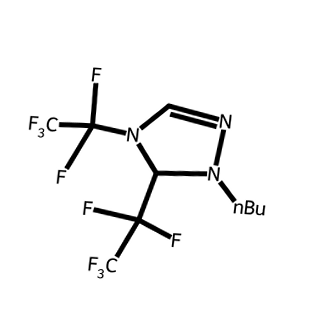 CCCCN1N=CN(C(F)(F)C(F)(F)F)C1C(F)(F)C(F)(F)F